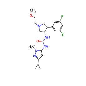 COCCN1C[C@@H](NC(=O)Nc2cc(C3CC3)nn2C)[C@H](c2cc(F)cc(F)c2)C1